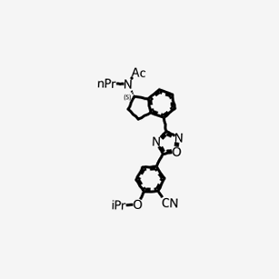 CCCN(C(C)=O)[C@H]1CCc2c(-c3noc(-c4ccc(OC(C)C)c(C#N)c4)n3)cccc21